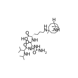 CN[C@@]1(C)C2CCCC(C)(NCCCC[C@H](NC(=O)C(NC(N)=O)NC(=O)[C@@H](NC(C)C)C(C)C)C(=O)O)CC[C@@H]1C2